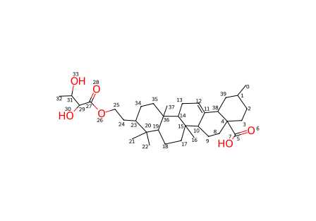 CC1CCC2(C(=O)O)CCC3C(=CCC4C3(C)CCC3C(C)(C)C(CCOC(=O)C(O)C(C)O)CCC34C)C2C1